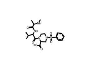 CNC(C)C(=O)NC(C(=O)N1CCN(S(=O)(=O)c2ccccc2)CC1C(=O)O)C(C)C